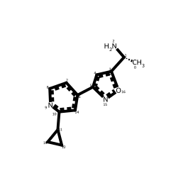 C[C@@H](N)c1cc(-c2ccnc(C3CC3)c2)no1